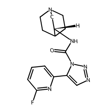 O=C(N[C@H]1CN2CCC1CC2)n1nncc1-c1cccc(F)n1